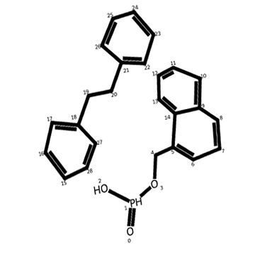 O=[PH](O)OCc1cccc2ccccc12.c1ccc(CCc2ccccc2)cc1